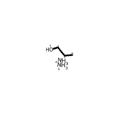 CCCO.N.N